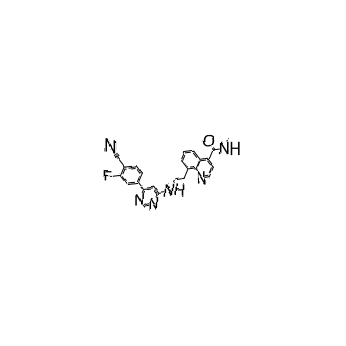 CNC(=O)c1ccnc2c(CCNc3cc(-c4ccc(C#N)c(F)c4)ncn3)cccc12